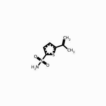 C=C(C)c1ccc(S(N)(=O)=O)s1